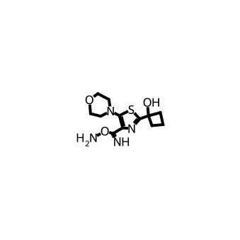 N=C(ON)c1nc(C2(O)CCC2)sc1N1CCOCC1